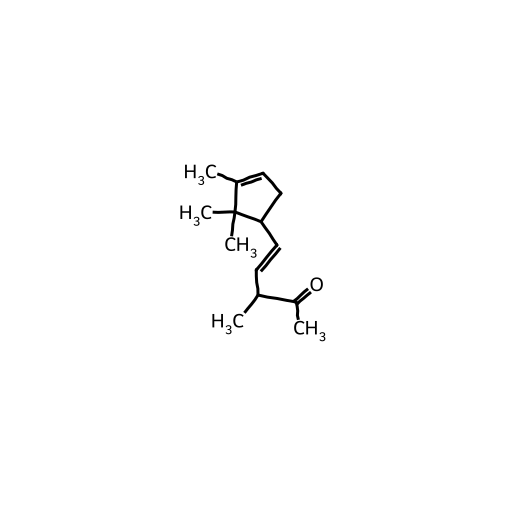 CC(=O)C(C)/C=C/C1CC=C(C)C1(C)C